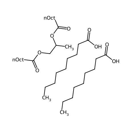 CCCCCCCCC(=O)O.CCCCCCCCC(=O)O.CCCCCCCCC(=O)OCC(C)OC(=O)CCCCCCCC